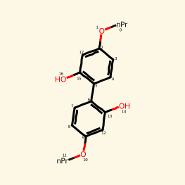 CCCOc1ccc(-c2ccc(OCCC)cc2O)c(O)c1